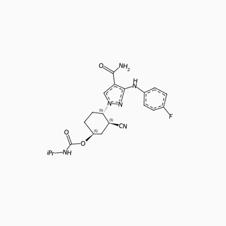 CC(C)NC(=O)O[C@H]1CC[C@H](n2cc(C(N)=O)c(Nc3ccc(F)cc3)n2)[C@@H](C#N)C1